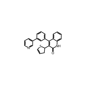 O=c1[nH]c2ccccc2c(-c2cccc(-c3cccnc3)c2)c1C1CC=CS1